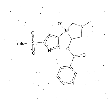 CCCCS(=O)(=O)c1nnc([N+]2([O-])CN(C)CC2OC(=O)c2cccnc2)s1